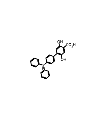 O=C(O)c1cc(O)c(-c2ccc([SH](c3ccccc3)c3ccccc3)cc2)cc1O